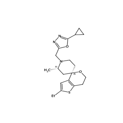 CCc1cc2c(s1)CCO[C@@]21CCN(Cc2nnc(C3CC3)o2)[C@@H](C)C1